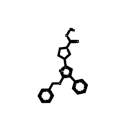 CC(C)(C)OC(=O)N1CCC(n2cc(-c3ccccc3)c(OCc3ccccc3)n2)C1